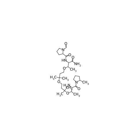 CC(OC(C)(C)CCOC(C)(C)CCOC(C)C(NC(=O)C1CCCN1C=O)C(N)=O)C(N)C(=O)N1CCCC1C